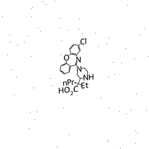 CCC[C@@](CC)(C(=O)O)C1CN(C2=Nc3cc(Cl)ccc3Oc3ccccc32)CCN1